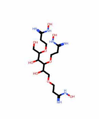 N=C(CCOCC(O)C(OCCC(=N)NO)C(O)C(CO)OCCC(=N)NO)NO